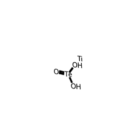 O=[Te](O)O.[Ti]